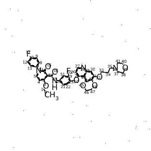 CCOc1ccn(-c2ccc(F)cc2)c(=O)c1C(=O)Nc1ccc(Oc2ccnc3cc(OCCCN4CCOCC4)c4c(c23)OCCO4)c(F)c1